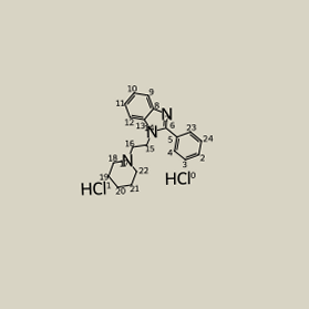 Cl.Cl.c1ccc(-c2nc3ccccc3n2CCN2CCCCC2)cc1